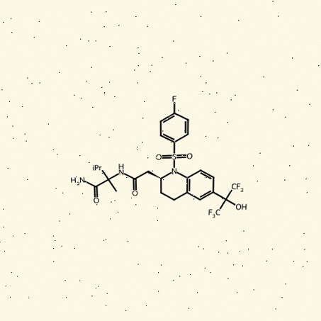 CC(C)C(C)(NC(=O)C[C@@H]1CCc2cc(C(O)(C(F)(F)F)C(F)(F)F)ccc2N1S(=O)(=O)c1ccc(F)cc1)C(N)=O